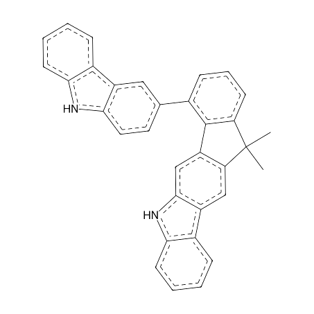 CC1(C)c2cc3c(cc2-c2c(-c4ccc5[nH]c6ccccc6c5c4)cccc21)[nH]c1ccccc13